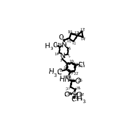 Cc1c(CN2CCN(C(=O)C3CC4(CC4)C3)C(C)C2)cc(Cl)cc1NC(=O)CCS(C)(=O)=O